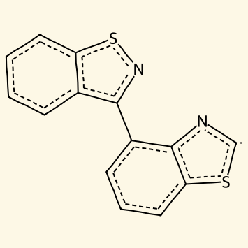 [c]1nc2c(-c3nsc4ccccc34)cccc2s1